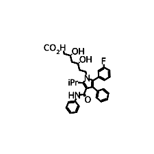 CC(C)c1c(C(=O)Nc2ccccc2)c(-c2ccccc2)c(-c2cccc(F)c2)n1CC[C@@H](O)C[C@@H](O)CC(=O)O